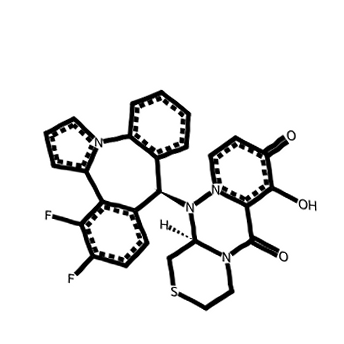 O=C1c2c(O)c(=O)ccn2N([C@@H]2c3ccccc3-n3cccc3-c3c2ccc(F)c3F)[C@@H]2CSCCN12